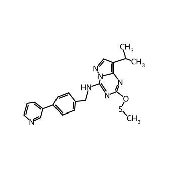 CSOc1nc(NCc2ccc(-c3cccnc3)cc2)n2ncc(C(C)C)c2n1